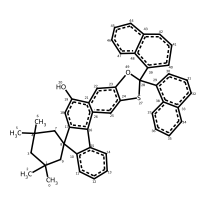 CC1(C)CC(C)(C)CC2(C1)c1ccccc1-c1c2cc(O)c2cc3c(cc12)SC(c1cccc2ccccc12)(c1cccc2ccccc12)O3